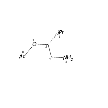 CC(=O)O[C@@H](CN)C(C)C